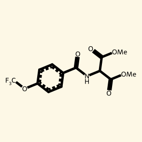 COC(=O)C(NC(=O)c1ccc(OC(F)(F)F)cc1)C(=O)OC